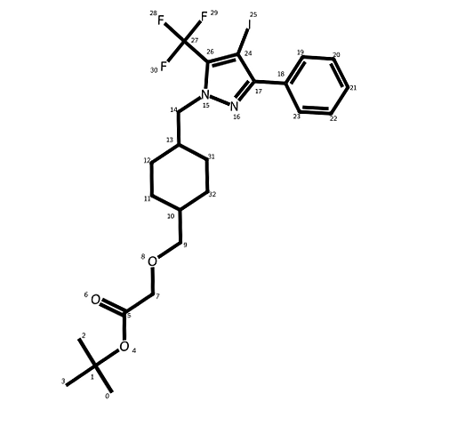 CC(C)(C)OC(=O)COCC1CCC(Cn2nc(-c3ccccc3)c(I)c2C(F)(F)F)CC1